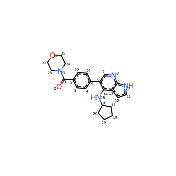 O=C(c1ccc(-c2cnc3[nH]ccc3c2NC2CCCC2)cc1)N1CCOCC1